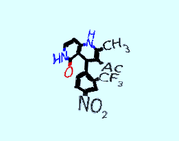 CC(=O)C1=C(C)Nc2cc[nH]c(=O)c2C1c1ccc([N+](=O)[O-])cc1C(F)(F)F